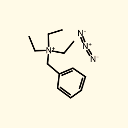 CC[N+](CC)(CC)Cc1ccccc1.[N-]=[N+]=[N-]